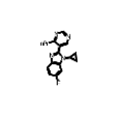 CCCc1ncncc1-c1nc2ccc(F)cc2n1C1CC1